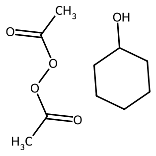 CC(=O)OOC(C)=O.OC1CCCCC1